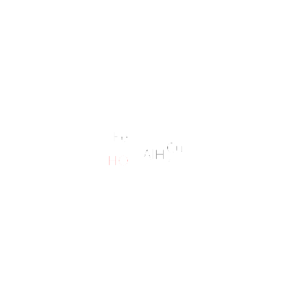 [AlH3].[Cu+].[Fe].[OH-]